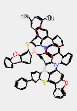 CC(C)(C)c1cc(-c2cc3c4c(c2)N(c2ccccc2-c2ccccc2)c2cc5c(cc2B4c2ccc4c(oc6ccccc64)c2S3)B2c3ccc(-c4ccccc4)cc3Sc3c2c(cc2oc4ccccc4c32)N5c2ccccc2-c2ccccc2)cc(C(C)(C)C)c1